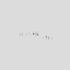 CCCCCCCCC[CH2][Na].F